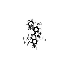 Cc1nc(N[C@H](C)c2cccc(C(F)(F)F)c2C)c2cc(N3CCOCC3C)c(P=O)cc2n1